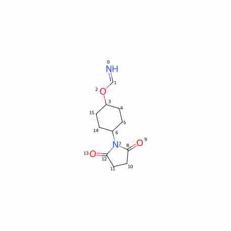 N=COC1CCC(N2C(=O)CCC2=O)CC1